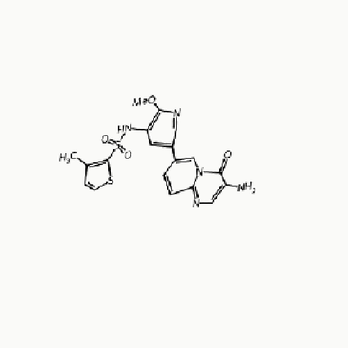 COc1ncc(-c2ccc3ncc(N)c(=O)n3c2)cc1NS(=O)(=O)c1sccc1C